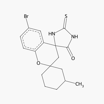 CC1CCCC2(C1)CC1(NC(=S)NC1=O)c1cc(Br)ccc1O2